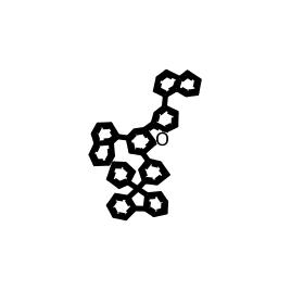 c1ccc(C2(c3cccc(-c4cc(-c5cccc6ccccc56)cc5c4oc4ccc(-c6cccc7ccccc67)cc45)c3)c3ccccc3-c3ccccc32)cc1